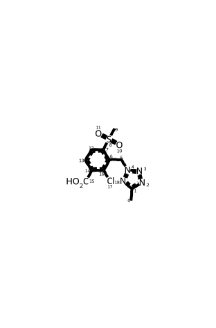 Cc1nnn(Cc2c(S(C)(=O)=O)ccc(C(=O)O)c2Cl)n1